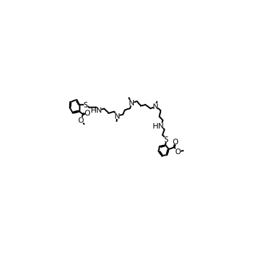 COC(=O)c1ccccc1SCCNCCCN(C)CCCCN(C)CCCN(C)CCCNCCSc1ccccc1C(=O)OC